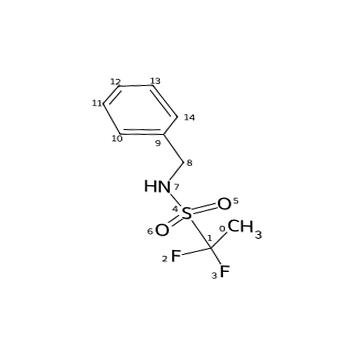 CC(F)(F)S(=O)(=O)NCc1ccccc1